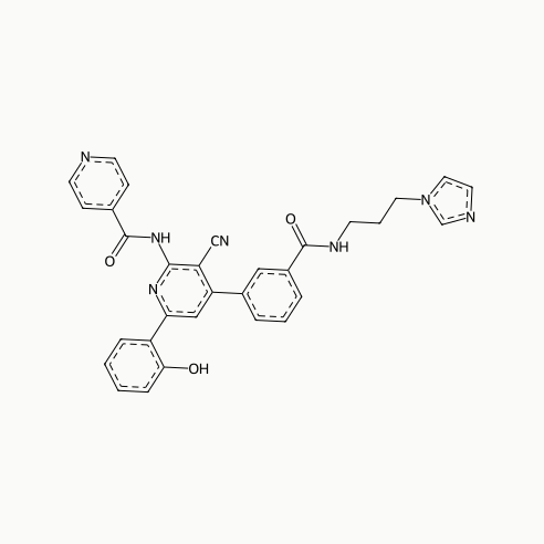 N#Cc1c(-c2cccc(C(=O)NCCCn3ccnc3)c2)cc(-c2ccccc2O)nc1NC(=O)c1ccncc1